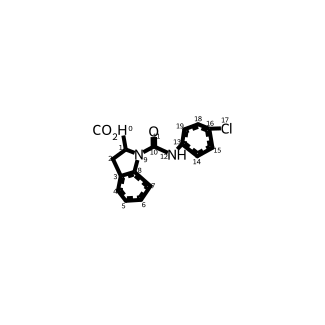 O=C(O)C1Cc2ccccc2N1C(=O)Nc1ccc(Cl)cc1